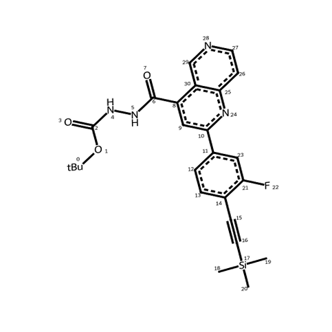 CC(C)(C)OC(=O)NNC(=O)c1cc(-c2ccc(C#C[Si](C)(C)C)c(F)c2)nc2ccncc12